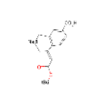 CC(C)(C)OC(=O)/C=C1\CCCc2cc(C(=O)O)ccc21.[NaH]